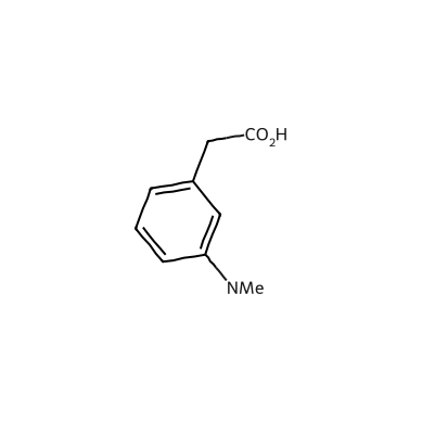 CNc1cccc(CC(=O)O)c1